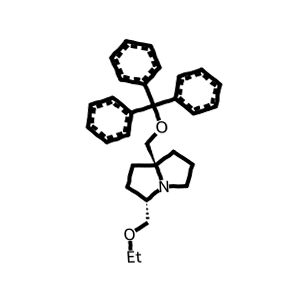 CCOC[C@@H]1CC[C@]2(COC(c3ccccc3)(c3ccccc3)c3ccccc3)CCCN12